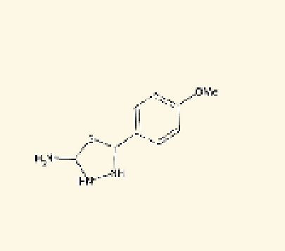 COc1ccc(C2NNC(N)S2)cc1